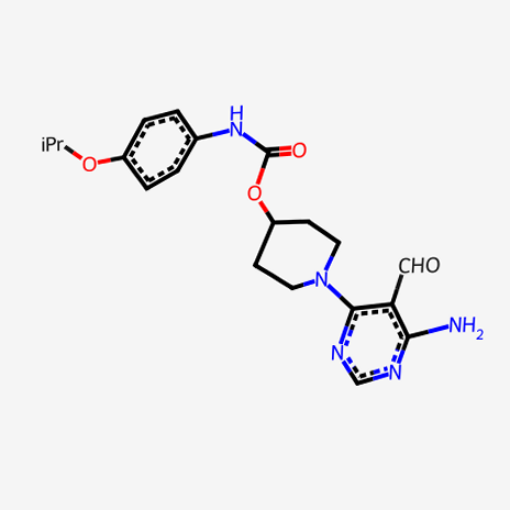 CC(C)Oc1ccc(NC(=O)OC2CCN(c3ncnc(N)c3C=O)CC2)cc1